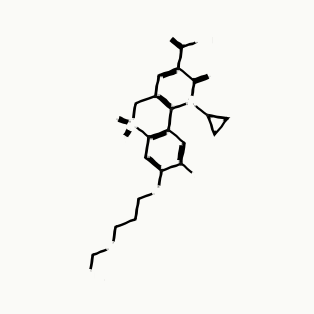 CCOCCCOc1cc2c(cc1Cl)-c1c(cc(C(=O)O)c(=O)n1C1CC1)CS2(=O)=O